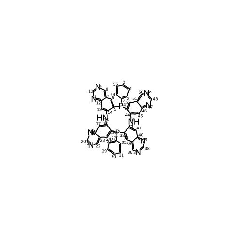 c1ccc(P2c3cc4cncnc4cc3Nc3cc4ncncc4cc3P(c3ccccc3)c3cc4cncnc4cc3Nc3cc4ncncc4cc32)cc1